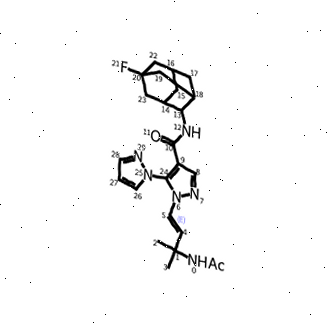 CC(=O)NC(C)(C)/C=C/n1ncc(C(=O)NC2C3CC4CC2CC(F)(C4)C3)c1-n1cccn1